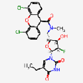 CCc1cn([C@@H]2O[C@H](CN(C)C(=O)C3c4cccc(Cl)c4Oc4c(Cl)cccc43)[C@@H](O)[C@H]2F)c(=O)[nH]c1=O